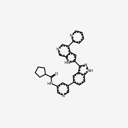 O=C(Nc1cncc(-c2ccc3[nH]nc(-c4cc5c(-c6ccccn6)cncc5[nH]4)c3c2)c1)C1CCCC1